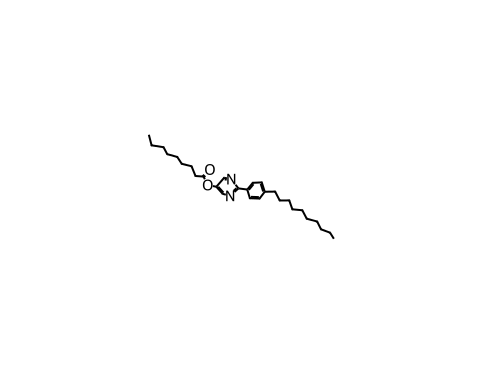 CCCCCCCCCCc1ccc(-c2ncc(OC(=O)CCCCCCCC)cn2)cc1